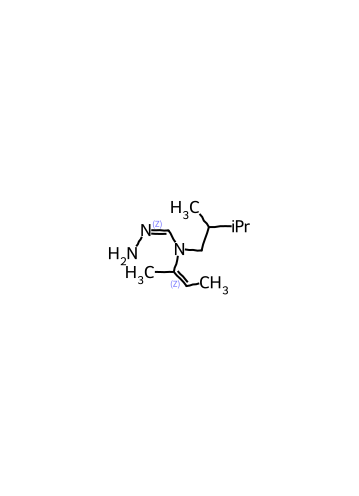 C/C=C(/C)N(/C=N\N)CC(C)C(C)C